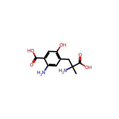 CC(N)(Cc1cc(N)c(C(=O)O)cc1O)C(=O)O